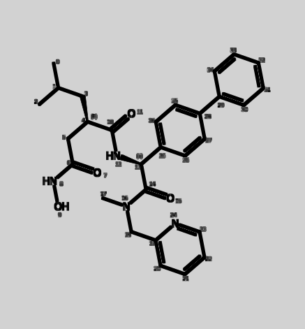 CC(C)C[C@H](CC(=O)NO)C(=O)N[C@H](C(=O)N(C)Cc1ccccn1)c1ccc(-c2ccccc2)cc1